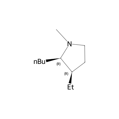 CCCC[C@@H]1[C@H](CC)CCN1C